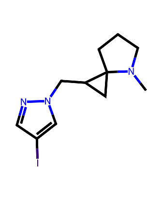 CN1CCCC12CC2Cn1cc(I)cn1